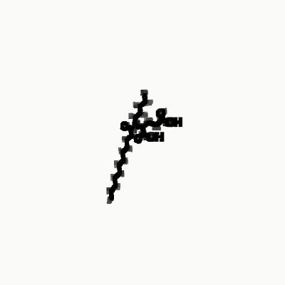 CCCCCCCCCCCC(=O)N(CCCCC)[C@@H](CCC(=O)O)C(=O)O